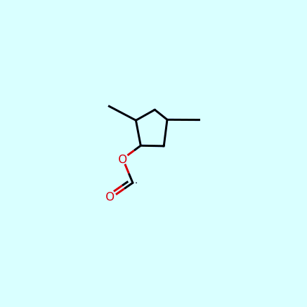 CC1CC(C)C(O[C]=O)C1